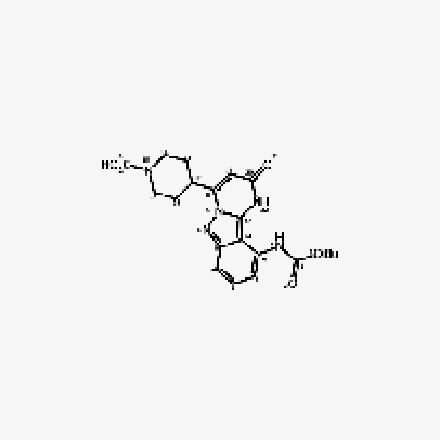 CC(C)COC(=O)Nc1cccc2nn3c(C4CCN(C(=O)O)CC4)cc(=O)[nH]c3c12